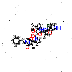 CC[C@H](C)[C@@H](C(CC(=O)N1CCC[C@H]1[C@H](OC)[C@@H](C)C(=O)NCCC1C=CC=CC=C1)OC)N(C)C(=O)[C@@H](NC(=O)[C@@]1(F)CCNC1)C(C)C